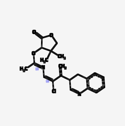 C=C(/C(Cl)=C\N=C(/C)OC1C(=O)OCC1(C)C)C1C=Nc2ccccc2C1